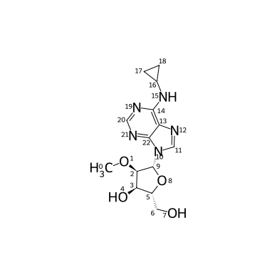 CO[C@@H]1[C@H](O)[C@@H](CO)O[C@H]1n1cnc2c(NC3CC3)ncnc21